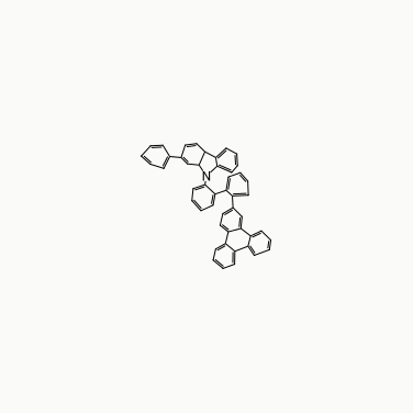 C1=CC2c3ccccc3N(c3ccccc3-c3ccccc3-c3ccc4c5ccccc5c5ccccc5c4c3)C2C=C1c1ccccc1